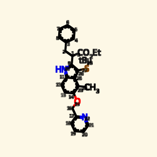 CCOC(=O)C(Cc1ccccc1)c1[nH]c2ccc(OCc3ccccn3)c(C)c2c1SC(C)(C)C